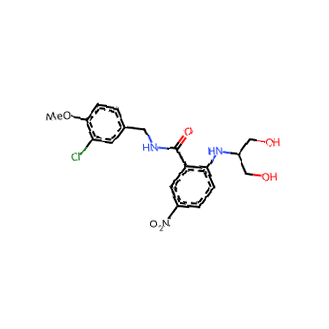 COc1ccc(CNC(=O)c2cc([N+](=O)[O-])ccc2NC(CO)CO)cc1Cl